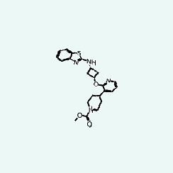 COC(=O)N1CCC(c2cccnc2O[C@H]2C[C@H](Nc3nc4ccccc4s3)C2)CC1